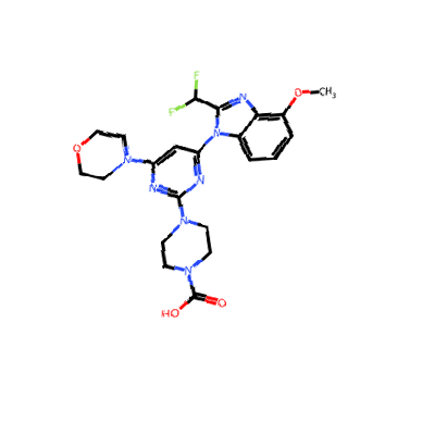 COc1cccc2c1nc(C(F)F)n2-c1cc(N2CCOCC2)nc(N2CCN(C(=O)O)CC2)n1